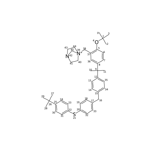 CC(C)(C)Oc1ccc(C(C)(C)c2ccc(Cc3ccc(Sc4ccc(C(C)(C)C)cc4)cc3)cc2)cc1C[N+]12CCN(CC1)C2